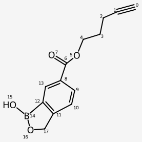 C#CCCCOC(=O)c1ccc2c(c1)B(O)OC2